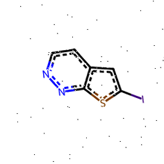 Ic1cc2ccnnc2s1